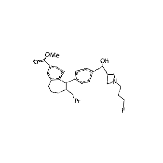 COC(=O)c1ccc2c(c1)CCCC(CC(C)C)C2c1ccc(C(O)C2CN(CCCF)C2)cc1